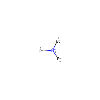 CC[N+](CC)C(C)C